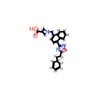 O=C(O)C1CN(Cc2ccc(-c3noc(CCC4C=CC=CC4)n3)c3ccccc23)C1